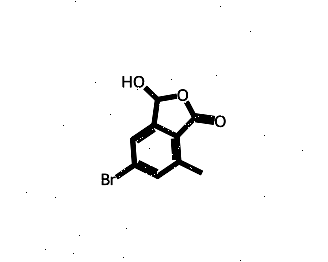 Cc1cc(Br)cc2c1C(=O)OC2O